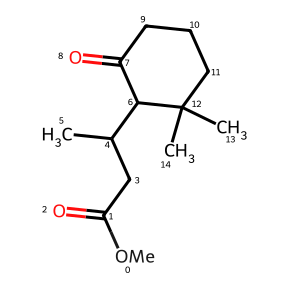 COC(=O)CC(C)C1C(=O)CCCC1(C)C